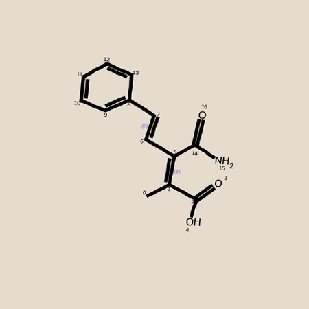 C/C(C(=O)O)=C(\C=C\c1ccccc1)C(N)=O